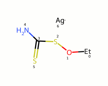 CCOSC(N)=S.[Ag]